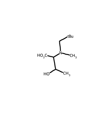 CC(O)C(C(=O)O)N(C)CC(C)(C)C